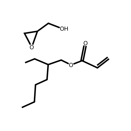 C=CC(=O)OCC(CC)CCCC.OCC1CO1